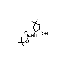 CC1(C)C[C@H](NC(=O)OC(C)(C)C)[C@@H](O)C1